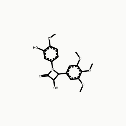 COc1ccc(N2C(=O)C(O)C2c2cc(OC)c(OC)c(OC)c2)cc1O